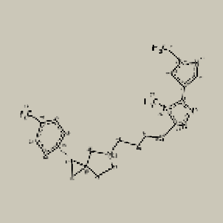 Cn1cc(-c2nnc(SCCCN3CCC4(C[C@@H]4c4ccc(C(F)(F)F)cc4)C3)n2C)cn1